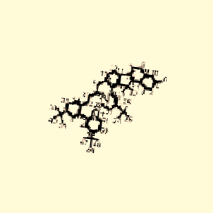 Cc1ccc2c3c(ccc2c1)-c1ccc2c(c1C3(C)C)-c1cc(C(C)(C)C)cc[n+]1/C(=C\Cc1ccc(C(C)(C)C)cc1-c1cc(C(C)(C)C)cc[n+]1C)C2